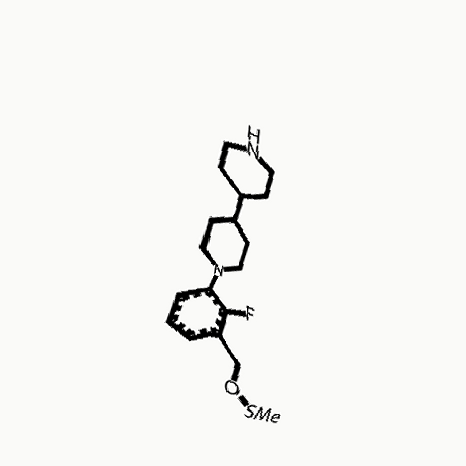 CSOCc1cccc(N2CCC(C3CCNCC3)CC2)c1F